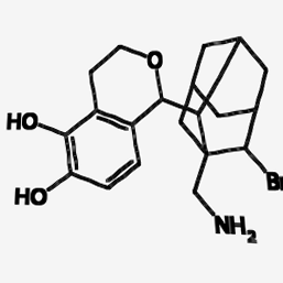 NCC12CC3CC(CC(C3)C1C1OCCc3c1ccc(O)c3O)C2Br